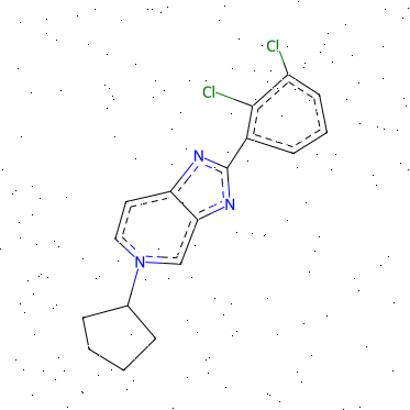 Clc1cccc(-c2nc3ccn(C4CCCC4)cc-3n2)c1Cl